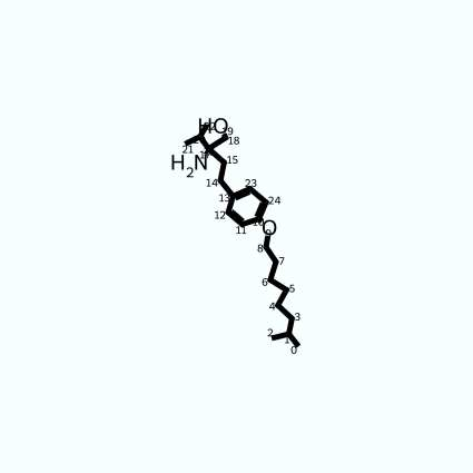 CC(C)CCCCCCOc1ccc(CC[C@@](N)(CO)C(C)C)cc1